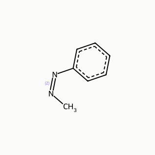 C/N=N\c1ccccc1